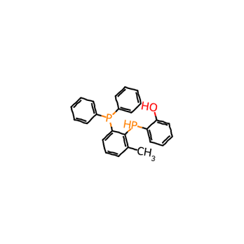 Cc1cccc(P(c2ccccc2)c2ccccc2)c1Pc1ccccc1O